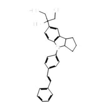 CCC(C)(CP)c1ccc2c(c1)C1CCCC1N2c1ccc(/C=C/c2ccccc2)cc1